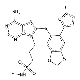 CNS(=O)(=O)CCCn1c(Sc2cc3c(cc2-c2ccc(C)o2)OCO3)nc2c(N)ncnc21